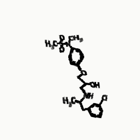 CC(Cc1cccc(Cl)c1)NCC(O)COc1ccc(N(C)S(C)(=O)=O)cc1